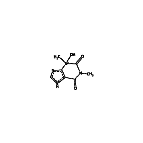 CN1C(=O)c2[nH]cnc2[N+](C)(O)C1=O